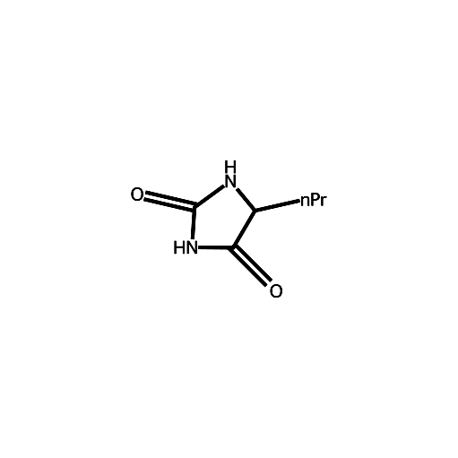 [CH2]CCC1NC(=O)NC1=O